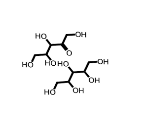 O=C(CO)C(O)C(O)CO.OCC(O)C(O)C(O)CO